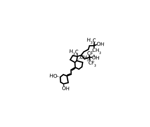 CC(C)(O)CCCC(CC(O)(C(F)(F)F)C(F)(F)F)[C@@]1(C)CCC2/C(=C/C=C3C[C@@H](O)C[C@H](O)C3)CCC[C@@]21C